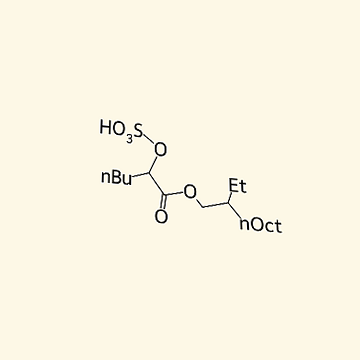 CCCCCCCCC(CC)COC(=O)C(CCCC)OS(=O)(=O)O